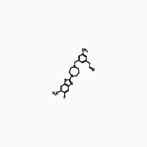 Cc1cc(CC=O)cc(CN2CCCN(c3nc4cc(F)c(C)cc4s3)CC2)c1